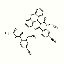 CCOC(=O)C(C(=O)c1ccc(C#N)cc1)C1c2ccccc2Sc2ccccc21.CCc1cc(C#N)ccc1C(=O)OC(C)=O